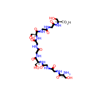 N[C@@H](CO)C(=O)NCC(=O)NCC(=O)N[C@@H](CO)C(=O)NCC(=O)NCC(=O)N[C@@H](CO)C(=O)NCC(=O)NCC(=O)N[C@@H](CO)C(=O)O